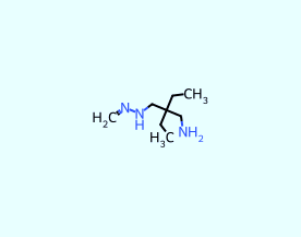 C=NNCC(CC)(CC)CN